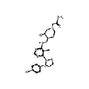 NC(=O)CN1CCC(CNc2ncnc(N3CCC[C@H]3c3ccc(Cl)cc3)c2F)C(O)C1